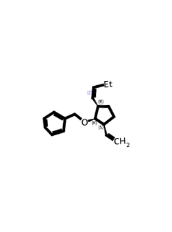 C=C[C@@H]1CC[C@H](/C=C\CC)[C@@H]1OCc1ccccc1